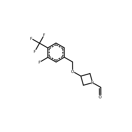 O=CN1CC(OCc2ccc(C(F)(F)F)c(F)c2)C1